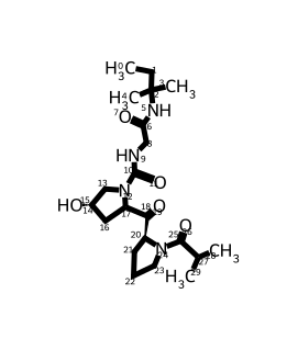 CCC(C)(C)NC(=O)CNC(=O)N1C[C@@H](O)CC1C(=O)[C@@H]1CCCN1C(=O)C(C)C